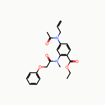 C=CCN(C(C)=O)c1ccc(C(=O)OCC)c(N(C)C(=O)COc2ccccc2)c1